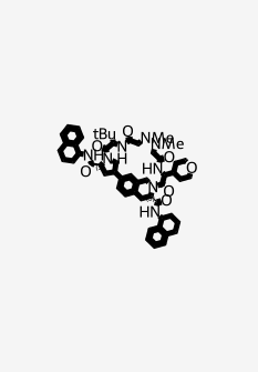 CNCC(=O)NC(C(=O)N1Cc2cc(C3C[C@@H](C(=O)NC4CCCc5ccccc54)N(C(=O)C(NC(=O)CNC)C(C)(C)C)C3)ccc2C[C@H]1C(=O)NC1CCCc2ccccc21)C1CCOCC1